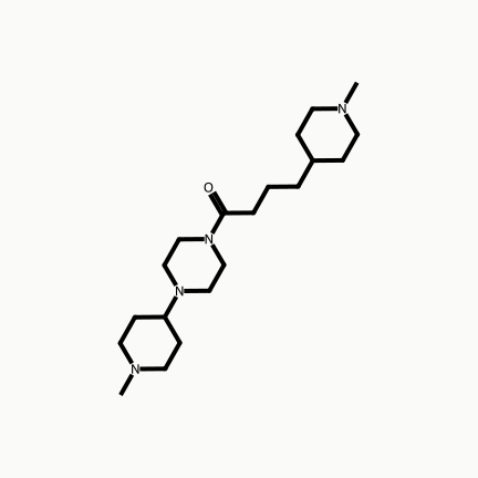 CN1CCC(CCCC(=O)N2CCN(C3CCN(C)CC3)CC2)CC1